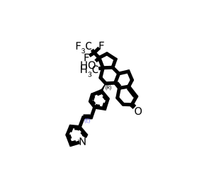 CC12C[C@H](c3ccc(/C=C/c4cccnc4)cc3)C3=C4CCC(=O)C=C4CCC3C1CCC2(O)C(F)(F)C(F)(F)F